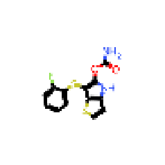 NC(=O)Oc1[nH]c2ccsc2c1Sc1ccccc1F